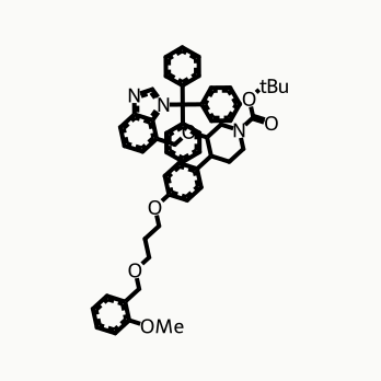 COc1ccccc1COCCCOc1ccc(C2CCN(C(=O)OC(C)(C)C)CC2OCc2cccc3ncn(C(c4ccccc4)(c4ccccc4)c4ccccc4)c23)cc1